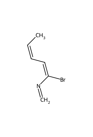 C=N/C(Br)=C\C=C/C